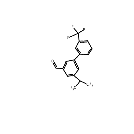 CC(C)c1cc(C=O)cc(-c2cccc(C(F)(F)F)c2)c1